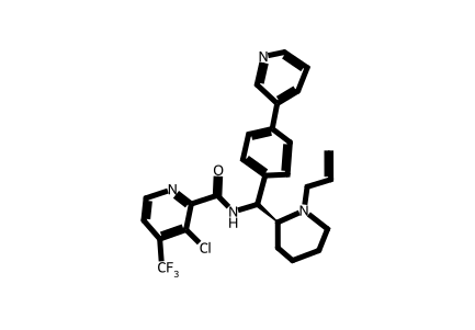 C=CCN1CCCC[C@H]1C(NC(=O)c1nccc(C(F)(F)F)c1Cl)c1ccc(-c2cccnc2)cc1